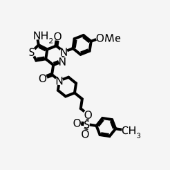 COc1ccc(-n2nc(C(=O)N3CCC(CCOS(=O)(=O)c4ccc(C)cc4)CC3)c3csc(N)c3c2=O)cc1